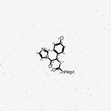 CCCCCCCC(=O)SC(c1ccc(Cl)cc1)C(Cl)n1ccnc1